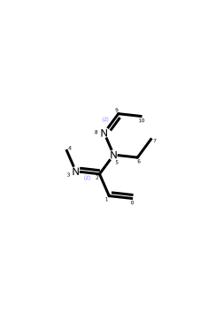 C=C/C(=N/C)N(CC)/N=C\C